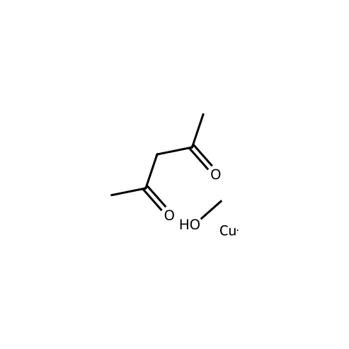 CC(=O)CC(C)=O.CO.[Cu]